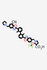 Cc1c(-c2nc3cc(CN4CCC(C(=O)O)C4)c(OC(F)F)cc3o2)cccc1-c1cccc(-c2nc3cc(CN4CCCC4)cc(C#N)c3o2)c1C